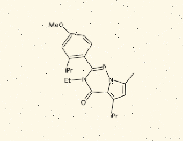 CCn1c(-c2ccc(OC)cc2C(C)C)nn2c(C)cc(C(C)C)c2c1=O